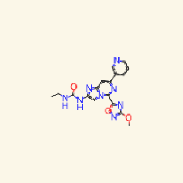 CCNC(=O)Nc1cn2c(-c3nc(OC)no3)nc(-c3cccnc3)cc2n1